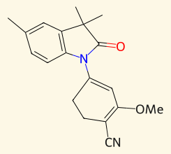 COC1=C(C#N)CCC(N2C(=O)C(C)(C)c3cc(C)ccc32)=C1